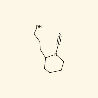 N#CN1CCCCC1CCCO